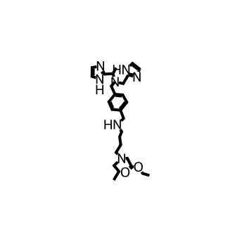 CCCN(CCCCNCc1ccc(CN(Cc2ncc[nH]2)C(C)c2ncc[nH]2)cc1)CC(=O)OCC